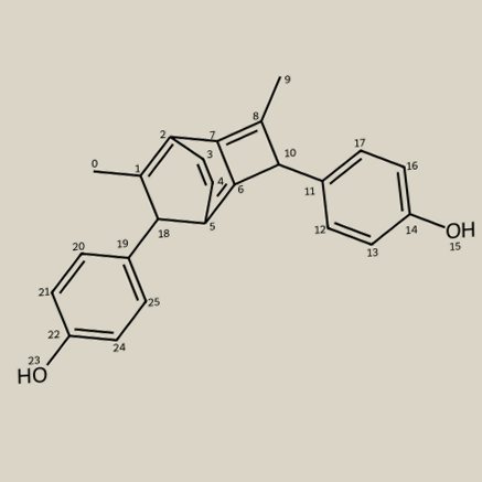 CC1=c2ccc(c3c2=C(C)C3c2ccc(O)cc2)C1c1ccc(O)cc1